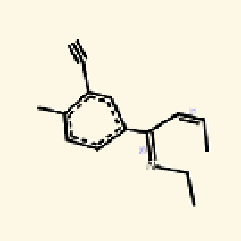 C#Cc1cc(C(/C=C\C)=N/CC)ccc1C